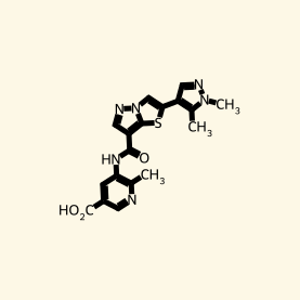 Cc1ncc(C(=O)O)cc1NC(=O)c1cnn2cc(-c3cnn(C)c3C)sc12